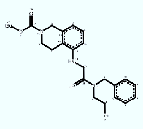 CC(C)CCN(Cc1ccccc1)C(=O)CNc1cccc2c1CCN(C(=O)OC(C)(C)C)C2